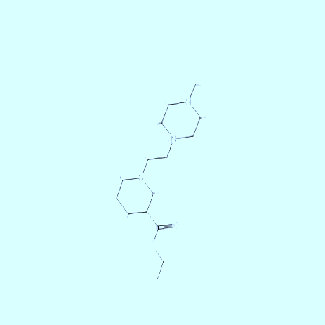 CCOC(=O)C1CCCN(CCN2CCN(C)CC2)C1